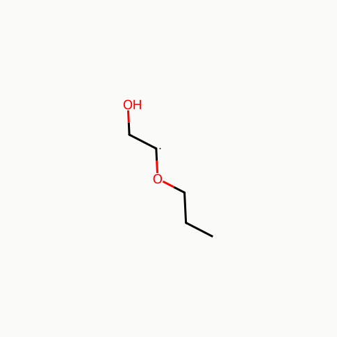 CCCO[CH]CO